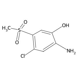 CS(=O)(=O)c1cc(O)c(N)cc1Cl